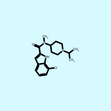 CC(C)N1CCC(N(C)C(=O)c2cc3cccc(Cl)c3[nH]2)CC1